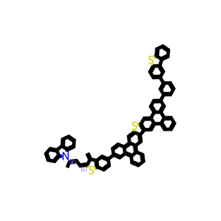 C=c1/c(=C\C=C(/C)n2c3ccccc3c3ccccc32)sc2ccc(-c3ccc4c(c3)c3ccccc3c3cc5c(cc43)sc3cc4c6ccc(-c7cccc(-c8ccc9sc%10ccccc%10c9c8)c7)cc6c6ccccc6c4cc35)cc12